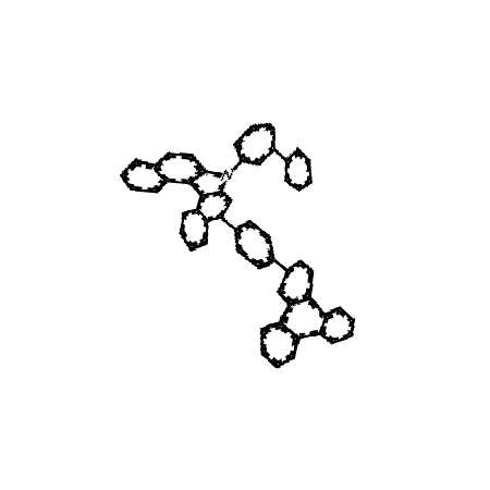 c1ccc(-c2cccc(-n3c4ccc5ccccc5c4c4c5ccccc5c(-c5ccc(-c6ccc7c8ccccc8c8ccccc8c7c6)cc5)cc43)c2)cc1